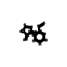 C=C1NC=CO1.C=Cc1ccccc1